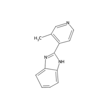 Cc1cnccc1-c1nc2ccccc2[nH]1